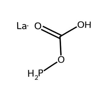 O=C(O)OP.[La]